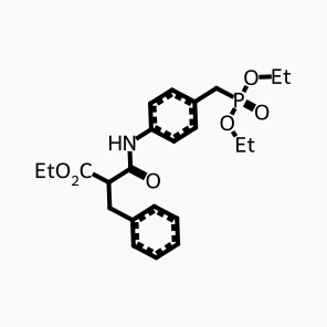 CCOC(=O)C(Cc1ccccc1)C(=O)Nc1ccc(CP(=O)(OCC)OCC)cc1